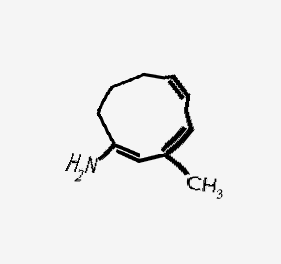 CC1=C/C=C\CCC/C(N)=C\1